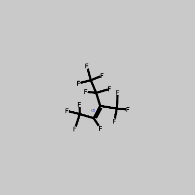 F/C(=C(\C(F)(F)F)C(F)(F)C(F)(F)F)C(F)(F)F